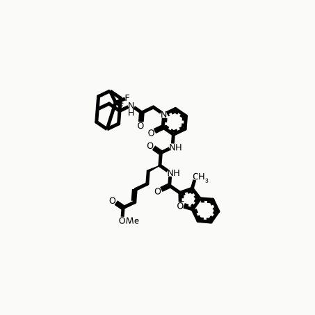 COC(=O)/C=C/CC[C@H](NC(=O)c1oc2ccccc2c1C)C(=O)Nc1cccn(CC(=O)NC23CC4CC(C2)C(F)(F)C(C4)C3)c1=O